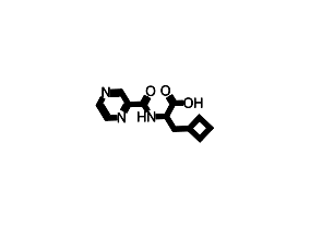 O=C(NC(CC1CCC1)C(=O)O)c1cnccn1